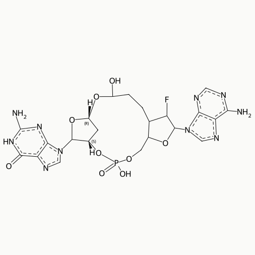 Nc1nc2c(ncn2C2O[C@H]3C[C@@H]2OP(=O)(O)OCC2OC(n4cnc5c(N)ncnc54)C(F)C2CCC(O)O3)c(=O)[nH]1